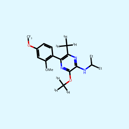 [2H]C([2H])([2H])Oc1nc(-c2ccc(OC(F)(F)F)cc2OC)c(C([2H])([2H])[2H])nc1NC(CC)CC